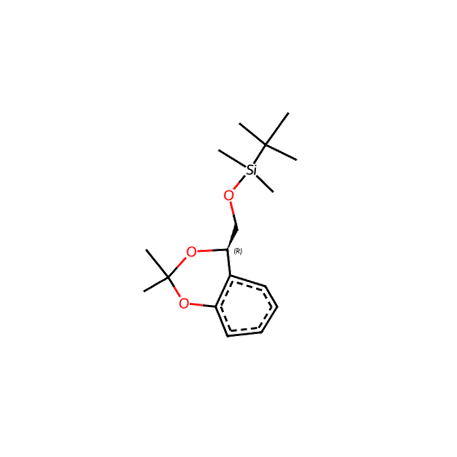 CC1(C)Oc2ccccc2[C@H](CO[Si](C)(C)C(C)(C)C)O1